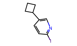 Ic1ccc(C2CCC2)cn1